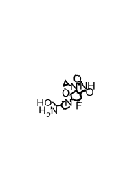 COC1c2c(c(=O)[nH]c(=O)n2C2CC2)C=C(F)C1N1CCC(C(N)CO)C1